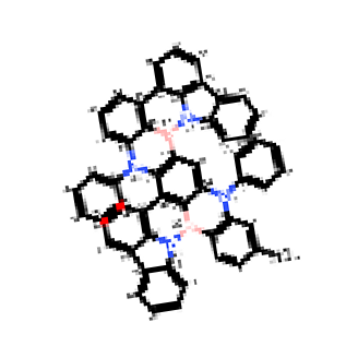 CC(C)(C)c1ccc2c(c1)N(c1ccccc1)c1cc3c(c4c1B2n1c2ccccc2c2cccc-4c21)N(c1ccccc1)c1cccc2c1B3n1c3ccccc3c3cccc-2c31